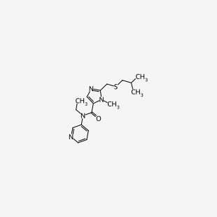 CCN(C(=O)c1cnc(CSCC(C)C)n1C)c1cccnc1